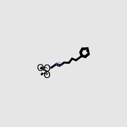 CS(=O)(=O)OC/C=C/CCCCc1ccccc1